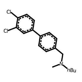 CCCCN(C)Cc1ccc(-c2ccc(Cl)c(Cl)c2)cc1